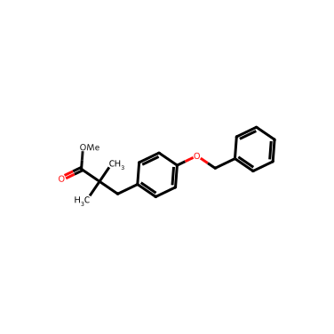 COC(=O)C(C)(C)Cc1ccc(OCc2ccccc2)cc1